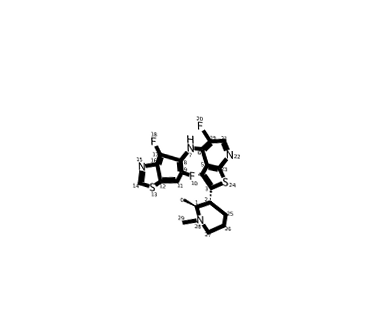 C[C@H]1[C@H](c2cc3c(Nc4c(F)cc5scnc5c4F)c(F)cnc3s2)CCCN1C